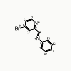 Brc1ccnc(/C=N/c2ccccc2)c1